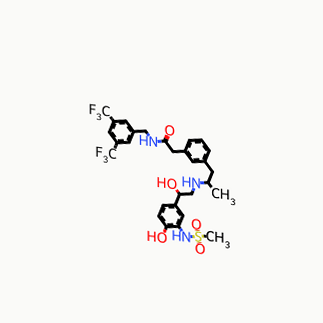 CC(Cc1cccc(CC(=O)NCc2cc(C(F)(F)F)cc(C(F)(F)F)c2)c1)NCC(O)c1ccc(O)c(NS(C)(=O)=O)c1